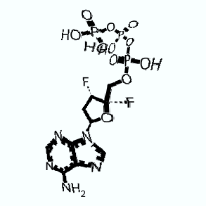 Nc1ncnc2c1ncn2[C@H]1C[C@H](F)[C@@](F)(COP(=O)(O)OP(=O)(O)OP(=O)(O)O)O1